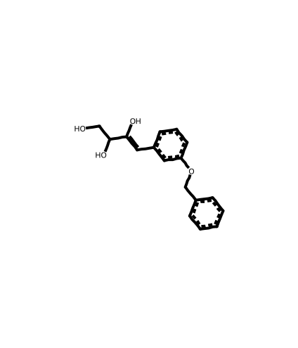 OCC(O)C(O)=Cc1cccc(OCc2ccccc2)c1